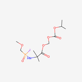 COCP(=O)(I)NC(C)(C)C(=O)OCOC(=O)OC(C)C